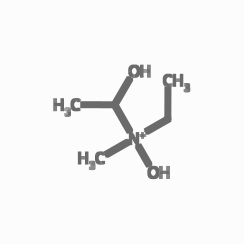 CC[N+](C)(O)C(C)O